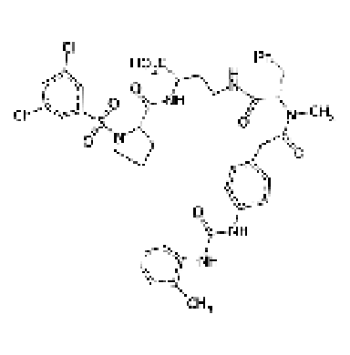 Cc1ccccc1NC(=O)Nc1ccc(CC(=O)N(C)[C@@H](CC(C)C)C(=O)NCC[C@H](NC(=O)[C@@H]2CCCN2S(=O)(=O)c2cc(Cl)cc(Cl)c2)C(=O)O)cc1